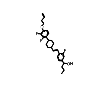 C=CCCOc1ccc(C2CCC(/C=C/c3ccc(C(O)CCC)cc3F)CC2)c(F)c1F